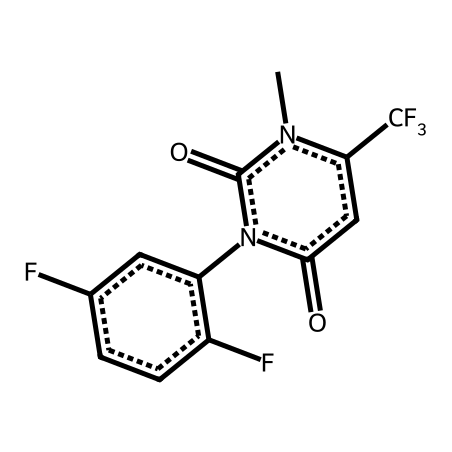 Cn1c(C(F)(F)F)cc(=O)n(-c2cc(F)ccc2F)c1=O